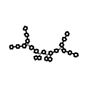 c1ccc(-c2ccc(-c3ccc4c(c3)c3cc(-c5ccc(-c6ccccc6)cc5)ccc3n4-c3ccc(-c4ccc(N(c5cccc(N(c6ccc(-c7ccc(-n8c9ccc(-c%10ccc(-c%11ccccc%11)cc%10)cc9c9cc(-c%10ccc(-c%11ccccc%11)cc%10)ccc98)cc7)cc6)c6cccc7ccccc67)c5)c5cccc6ccccc56)cc4)cc3)cc2)cc1